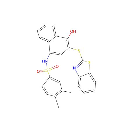 Cc1ccc(S(=O)(=O)Nc2cc(Sc3nc4ccccc4s3)c(O)c3ccccc23)cc1C